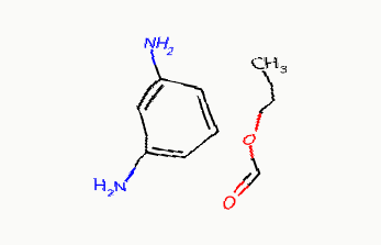 CCOC=O.Nc1cccc(N)c1